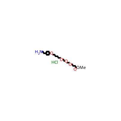 COC(=O)CCCOCCOCCOCCCCCCOc1ccc(CCN)cc1.Cl